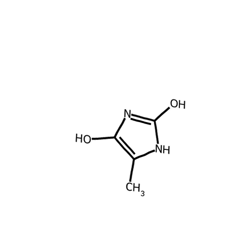 Cc1[nH]c(O)nc1O